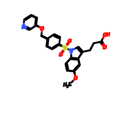 COc1ccc2c(c1)c(CCC(=O)O)cn2S(=O)(=O)c1ccc(COc2cccnc2)cc1